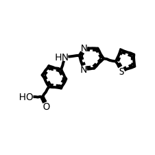 O=C(O)c1ccc(Nc2ncc(-c3cccs3)cn2)cc1